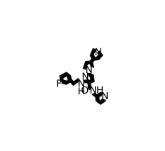 O=C(NCc1cccnc1)c1ccc(N2CCC(c3ccncc3)C2)nc1NCCc1cccc(F)c1